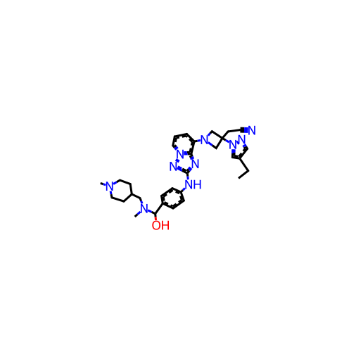 CCc1cnn(C2(CC#N)CN(c3cccn4nc(Nc5ccc(C(O)N(C)CC6CCN(C)CC6)cc5)nc34)C2)c1